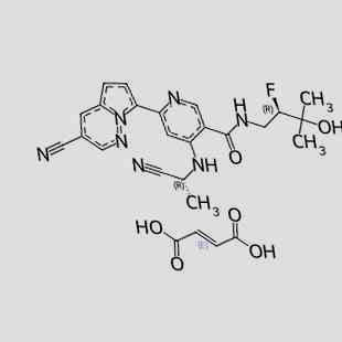 C[C@H](C#N)Nc1cc(-c2ccc3cc(C#N)cnn23)ncc1C(=O)NC[C@@H](F)C(C)(C)O.O=C(O)/C=C/C(=O)O